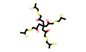 CC(S)CSCC(=O)CC(CC(=O)CSCC(C)S)(CC(=O)CSCC(C)S)CC(=O)CSCC(C)S